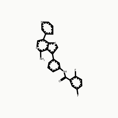 Nc1ncc(-c2cccnc2)c2scc(-c3cccc(NC(=O)c4cc(F)ccc4F)c3)c12